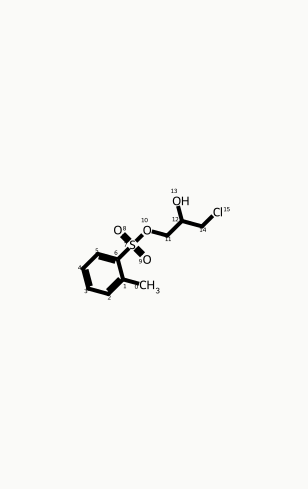 Cc1ccccc1S(=O)(=O)OCC(O)CCl